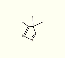 CC1=NN=CC1(C)C